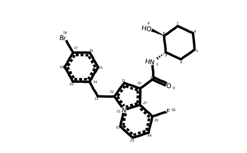 O=C(N[C@H]1CCCC[C@@H]1O)c1cc(Cc2ccc(Br)cc2)n2cccc(F)c12